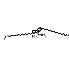 CCCCCCCCCCCCCCCc1ccc2c3ccc(CCCCCCCCCCCCCCC)cc3n(C(C)N)c2c1